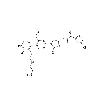 COCc1cc(N2C[C@H](CNC(=O)c3ccc(Cl)s3)OC2=O)ccc1-c1cc[nH]c(=O)c1CCNCCO